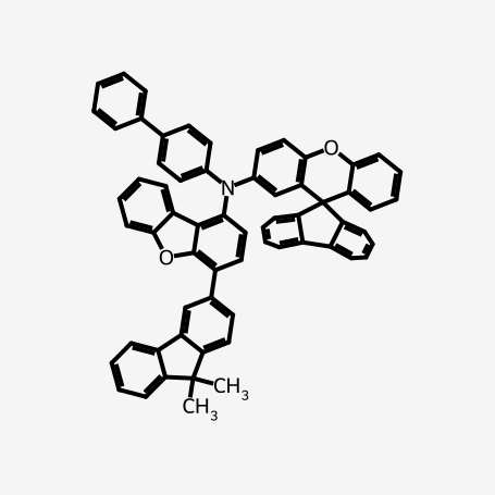 CC1(C)c2ccccc2-c2cc(-c3ccc(N(c4ccc(-c5ccccc5)cc4)c4ccc5c(c4)C4(c6ccccc6O5)c5ccccc5-c5ccccc54)c4c3oc3ccccc34)ccc21